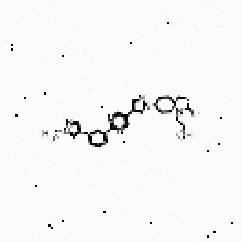 Cn1cc(-c2cccc(-c3ncc(-c4cnn([C@H]5CC[C@]6(CCC(=O)N6CCO)CC5)c4)cn3)c2)cn1